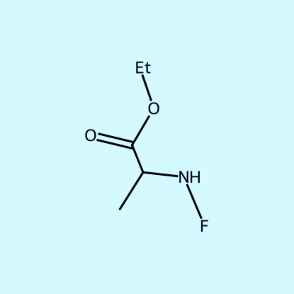 CCOC(=O)C(C)NF